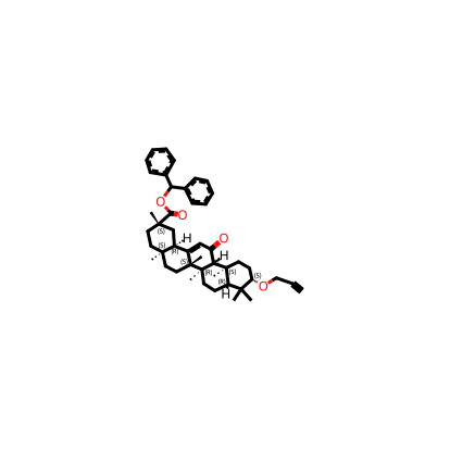 C#CCO[C@H]1CC[C@]2(C)[C@H]3C(=O)C=C4[C@@H]5C[C@@](C)(C(=O)OC(c6ccccc6)c6ccccc6)CC[C@]5(C)CC[C@@]4(C)[C@]3(C)CC[C@H]2C1(C)C